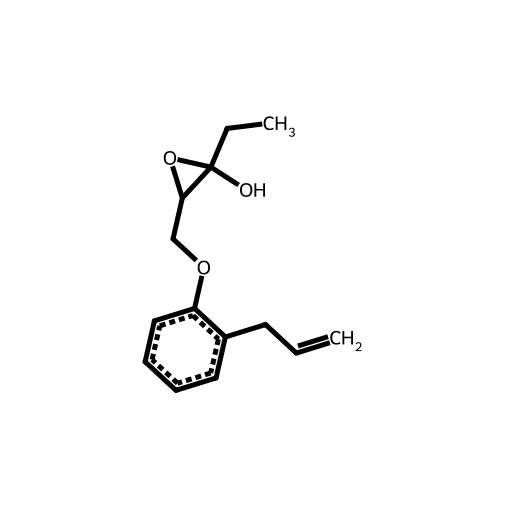 C=CCc1ccccc1OCC1OC1(O)CC